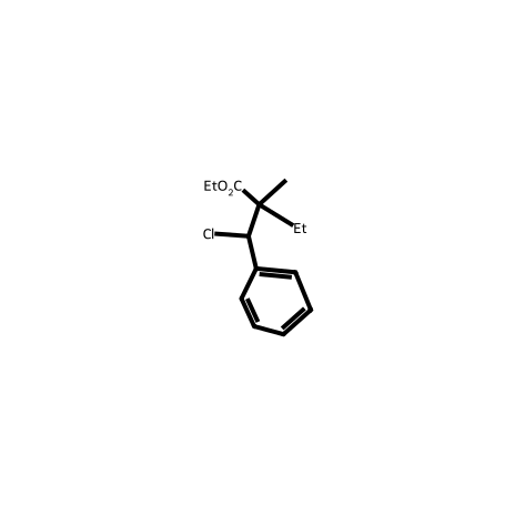 CCOC(=O)C(C)(CC)C(Cl)c1ccccc1